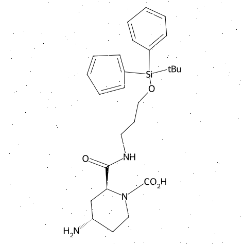 CC(C)(C)[Si](OCCCNC(=O)[C@@H]1C[C@@H](N)CCN1C(=O)O)(c1ccccc1)c1ccccc1